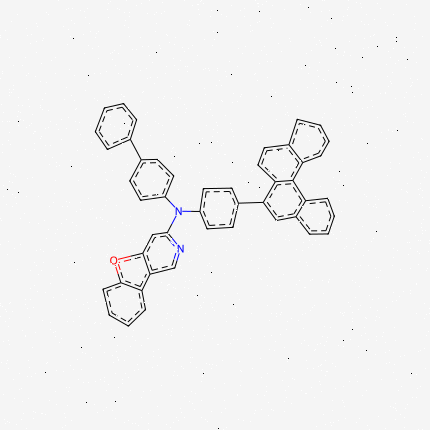 c1ccc(-c2ccc(N(c3ccc(-c4cc5ccccc5c5c4ccc4ccccc45)cc3)c3cc4oc5ccccc5c4cn3)cc2)cc1